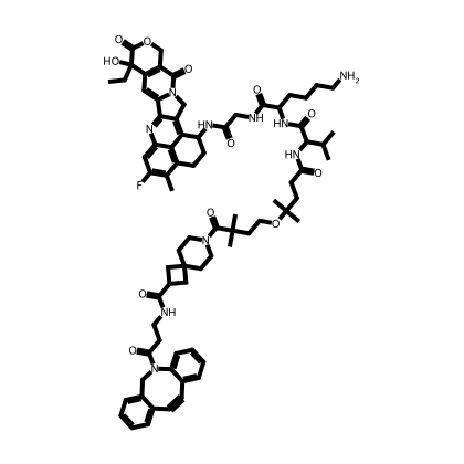 CCC1(O)C(=O)OCc2c1cc1n(c2=O)Cc2c-1nc1cc(F)c(C)c3c1c2C(NC(=O)CNC(=O)C(CCCCN)NC(=O)C(NC(=O)CCC(C)(C)OCCC(C)(C)C(=O)N1CCC2(CC1)CC(C(=O)NCCC(=O)N1Cc4ccccc4C#Cc4ccccc41)C2)C(C)C)CC3